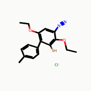 CCOc1cc([N+]#N)c(OCC)c(S)c1-c1ccc(C)cc1.[Cl-]